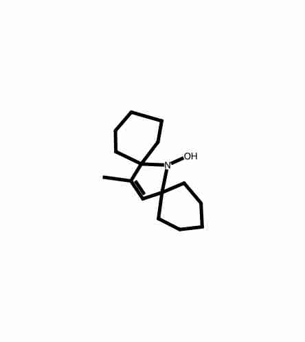 CC1=CC2(CCCCC2)N(O)C12CCCCC2